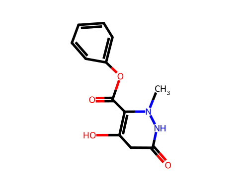 CN1NC(=O)CC(O)=C1C(=O)Oc1ccccc1